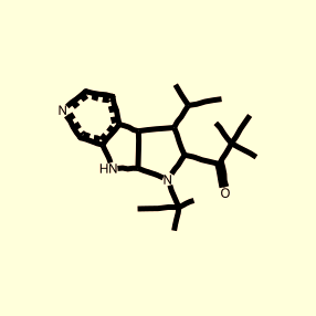 CC(C)C1C2c3ccncc3NC2N(C(C)(C)C)C1C(=O)C(C)(C)C